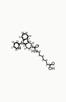 O=C(O)CCCCCCNC(=O)N1CCc2c(c3ccccc3n2-c2ccccn2)C1